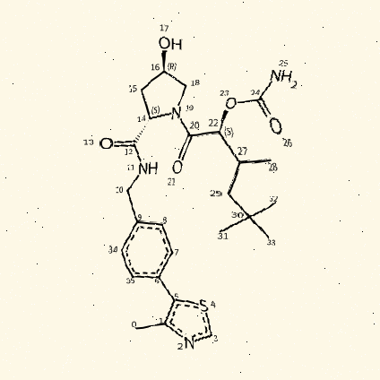 Cc1ncsc1-c1ccc(CNC(=O)[C@@H]2C[C@@H](O)CN2C(=O)[C@@H](OC(N)=O)C(C)CC(C)(C)C)cc1